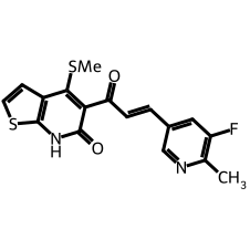 CSc1c(C(=O)/C=C/c2cnc(C)c(F)c2)c(=O)[nH]c2sccc12